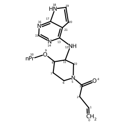 C=CCC(=O)N1CCC(OCCC)C(Nc2ncnc3[nH]ccc23)C1